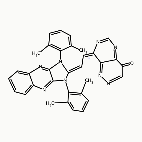 Cc1cccc(C)c1N1C(=C/C=c2/ncnc3c2=NN=CC3=O)N(c2c(C)cccc2C)c2nc3ccccc3nc21